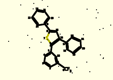 FC(F)(F)c1cccc(-c2sc(-c3ccccc3)cc2-c2ccccc2)c1